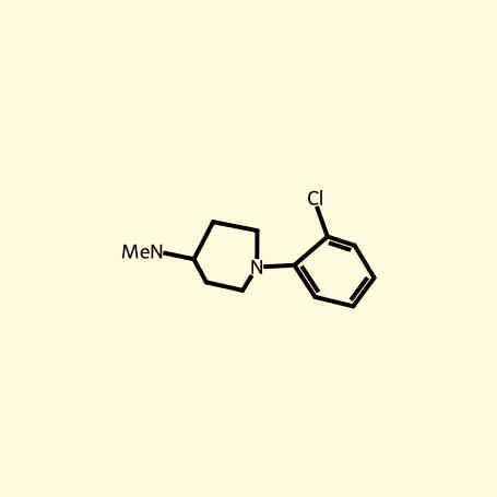 CNC1CCN(c2ccccc2Cl)CC1